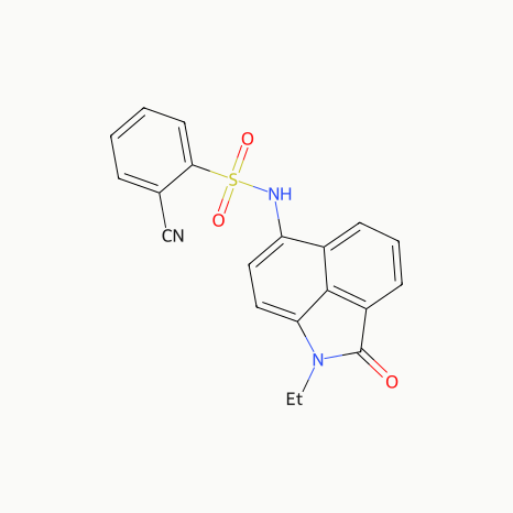 CCN1C(=O)c2cccc3c(NS(=O)(=O)c4ccccc4C#N)ccc1c23